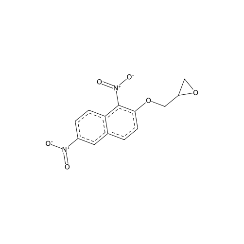 O=[N+]([O-])c1ccc2c([N+](=O)[O-])c(OCC3CO3)ccc2c1